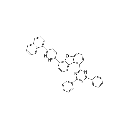 c1ccc(-c2nc(-c3ccccc3)nc(-c3cccc4oc5c(-c6ccc(-c7cccc8ccccc78)nn6)cccc5c34)n2)cc1